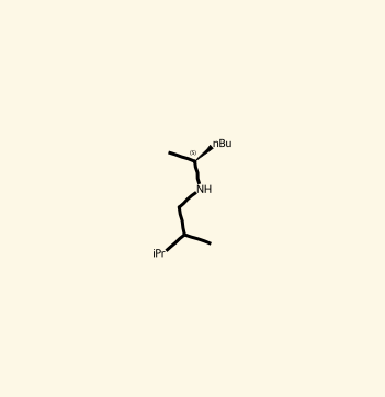 CCCC[C@H](C)NCC(C)C(C)C